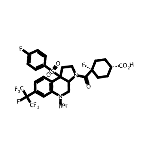 CCCN1CC2N(C(=O)[C@]3(F)CC[C@@H](C(=O)O)CC3)CCC2(S(=O)(=O)c2ccc(F)cc2)c2ccc(C(F)(C(F)(F)F)C(F)(F)F)cc21